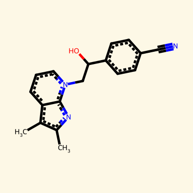 Cc1nc2n(CC(O)c3ccc(C#N)cc3)cccc-2c1C